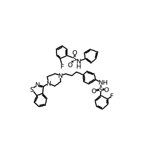 O=S(=O)(Nc1ccc(CCCN2CCN(c3nsc4ccccc34)CC2)cc1)c1ccccc1F.O=S(=O)(Nc1ccccc1)c1ccccc1F